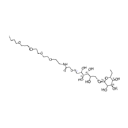 CCCCOCCOCCOCCOCCNC(=O)CO/N=C/C(O)[C@H](O)[C@H](O)C(O)CO[C@H]1OC(CC)[C@@H](O)[C@@H](O)C1O